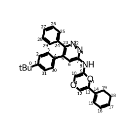 CC(C)(C)c1ccc(-c2cc(NC3=COC=C(C4=CC=CCC4)O3)nnc2-c2ccccc2)cc1